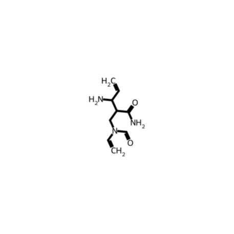 C=CC(N)C(CN(C=C)C=O)C(N)=O